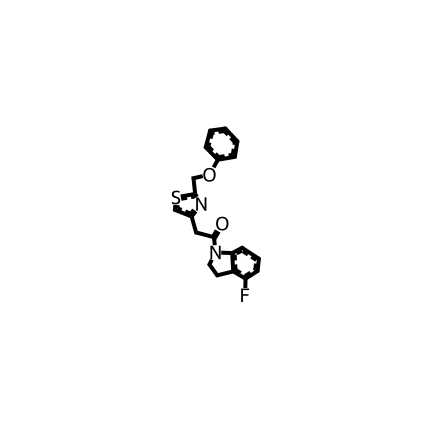 O=C(Cc1csc(COc2ccccc2)n1)N1CCc2c(F)cccc21